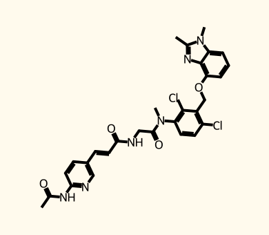 CC(=O)Nc1ccc(C=CC(=O)NCC(=O)N(C)c2ccc(Cl)c(COc3cccc4c3nc(C)n4C)c2Cl)cn1